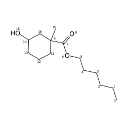 CCCCCCOC(=O)C1(C)CCCC(O)C1